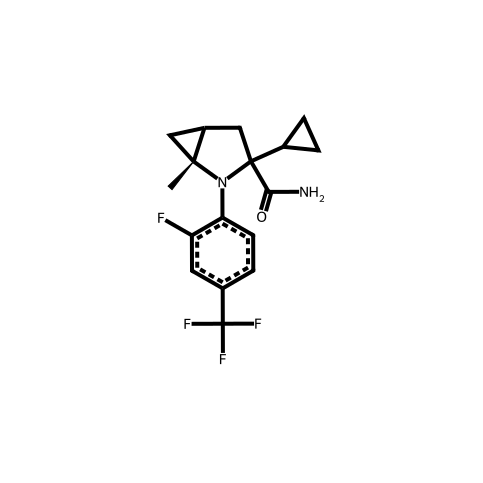 C[C@@]12CC1CC(C(N)=O)(C1CC1)N2c1ccc(C(F)(F)F)cc1F